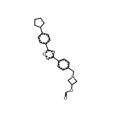 O=COC1CN(Cc2ccc(-c3noc(-c4ccc(C5CCCC5)cc4)n3)cc2)C1